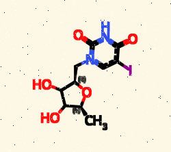 C[C@@H]1O[C@H](Cn2cc(I)c(=O)[nH]c2=O)C(O)C1O